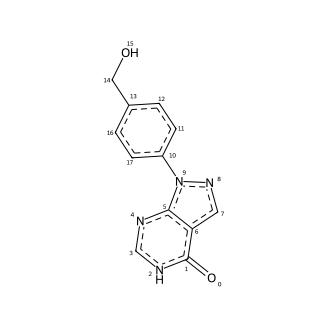 O=c1[nH]cnc2c1cnn2-c1ccc(CO)cc1